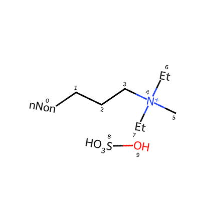 CCCCCCCCCCCC[N+](C)(CC)CC.O=S(=O)(O)O